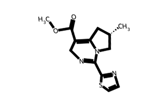 COC(=O)C1=C2C[C@H](C)CN2C(c2nccs2)=NC1